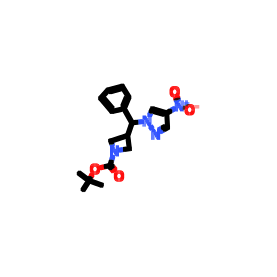 CC(C)(C)OC(=O)N1CC(C(c2ccccc2)n2cc([N+](=O)[O-])cn2)C1